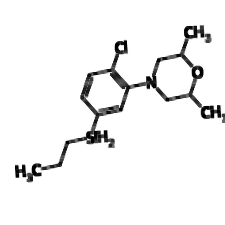 CCC[SiH2]c1ccc(Cl)c(N2CC(C)OC(C)C2)c1